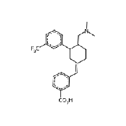 CN(C)CC1CCC(=Cc2cccc(C(=O)O)c2)CC1c1cccc(C(F)(F)F)c1